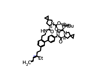 C=C/C=C(\CC)CCc1ccc(CCNC(=O)[C@@H]2CC3(CC3)CN2C(=O)OC(C)(C)C)c(-c2ccc(NC(=O)[C@@H]3CC4(CC4)CN3C(=O)OC(C)(C)C)cc2)c1